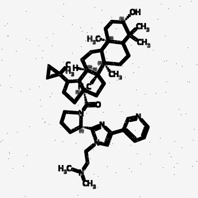 CN(C)CCn1cc(-c2cccnc2)nc1[C@@H]1CCCN1C(=O)[C@]12CCC(C3(C)CC3)C1[C@H]1CCC3[C@@]4(C)CC[C@H](O)C(C)(C)C4CC[C@@]3(C)[C@]1(C)CC2